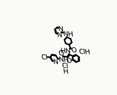 Cl.Cl.O=C(Nc1ccc(Cl)cn1)c1oc2ccccc2c1NC(=O)C1CCC(Nc2ncccn2)CC1